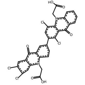 O=C(O)Cn1c2ccc(-c3cc(Cl)c4c(c3Cl)c(=O)c3ccccc3n4CC(=O)O)cc2c(=O)c2cc(Cl)c(Cl)cc21